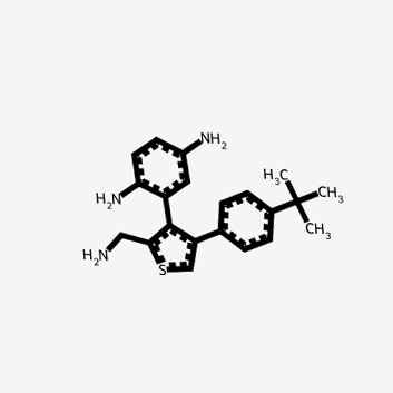 CC(C)(C)c1ccc(-c2csc(CN)c2-c2cc(N)ccc2N)cc1